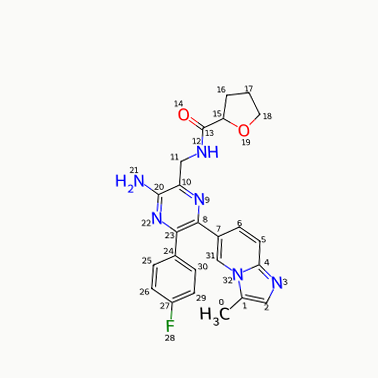 Cc1cnc2ccc(-c3nc(CNC(=O)C4CCCO4)c(N)nc3-c3ccc(F)cc3)cn12